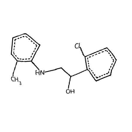 Cc1ccccc1NCC(O)c1ccccc1Cl